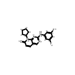 O=c1ccc2cnc(Nc3cc(F)cc(F)c3)nc2n1C1CCCC1